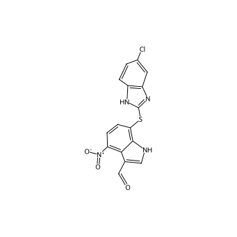 O=Cc1c[nH]c2c(Sc3nc4cc(Cl)ccc4[nH]3)ccc([N+](=O)[O-])c12